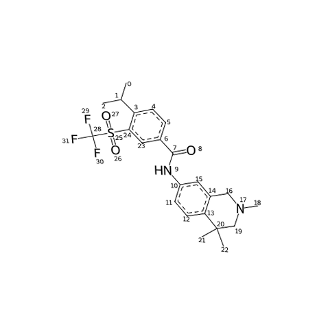 CC(C)c1ccc(C(=O)Nc2ccc3c(c2)CN(C)CC3(C)C)cc1S(=O)(=O)C(F)(F)F